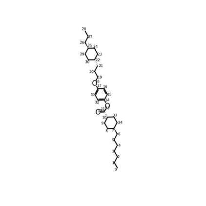 CCCCCCC[C@H]1CC[C@H](C(=O)Oc2ccc(OCCC[C@H]3CC[C@H](CCC)CC3)cc2)CC1